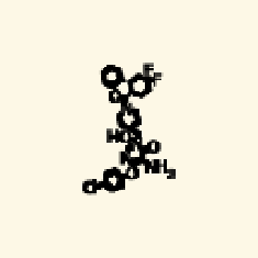 Nc1c(Oc2ccc(Cl)cc2)ncn(CC2(O)CCN(C(=O)[C@@H]3CCC(F)(F)C[C@H]3c3ccccc3)CC2)c1=O